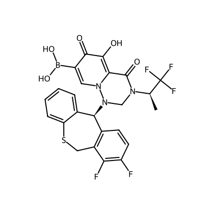 C[C@@H](N1CN([C@@H]2c3ccccc3SCc3c2ccc(F)c3F)n2cc(B(O)O)c(=O)c(O)c2C1=O)C(F)(F)F